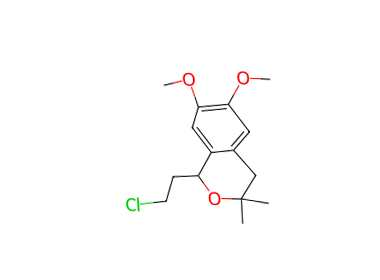 COc1cc2c(cc1OC)C(CCCl)OC(C)(C)C2